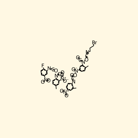 Cc1cc([N+](=O)[O-])ccc1N=C=O.Cc1ccc(N=C=O)c([N+](=O)[O-])c1.Cc1ccc([N+](=O)[O-])cc1N=C=O.O=C=NCCCBr.O=C=Nc1cc([N+](=O)[O-])ccc1F